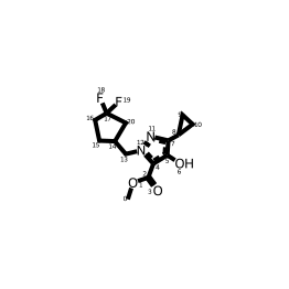 COC(=O)c1c(O)c(C2CC2)nn1CC1CCC(F)(F)C1